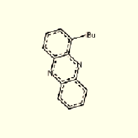 CCC(C)c1cccc2nc3ccccc3nc12